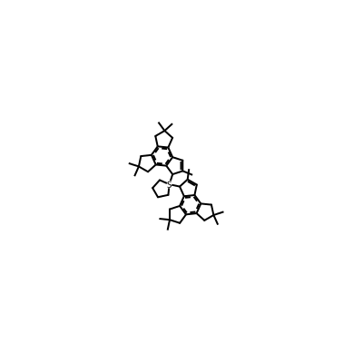 CC1=Cc2c3c(c4c(c2C1S1(C2C(C)=Cc5c6c(c7c(c52)CC(C)(C)C7)CC(C)(C)C6)CCCC1)CC(C)(C)C4)CC(C)(C)C3